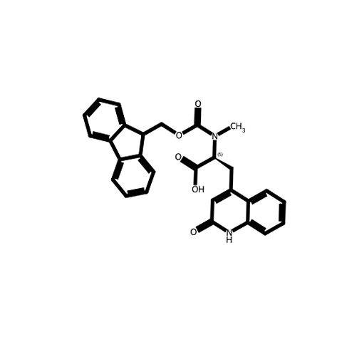 CN(C(=O)OCC1c2ccccc2-c2ccccc21)[C@@H](Cc1cc(=O)[nH]c2ccccc12)C(=O)O